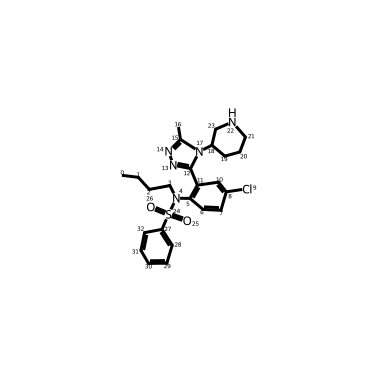 CCCCN(c1ccc(Cl)cc1-c1nnc(C)n1C1CCCNC1)S(=O)(=O)c1ccccc1